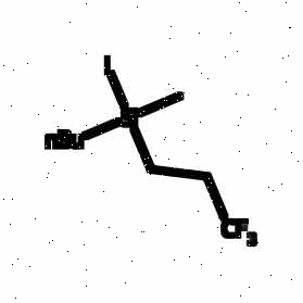 CCCC[Si](C)(I)CCC(F)(F)F